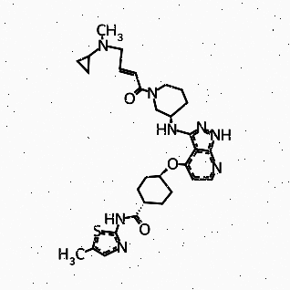 Cc1cnc(NC(=O)[C@H]2CC[C@H](Oc3ccnc4[nH]nc(N[C@@H]5CCCN(C(=O)/C=C/CN(C)C6CC6)C5)c34)CC2)s1